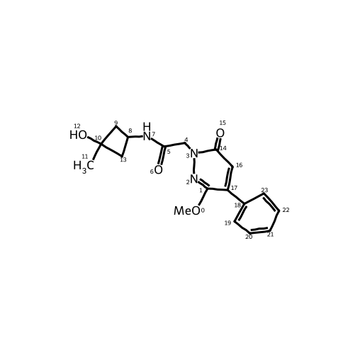 COc1nn(CC(=O)NC2CC(C)(O)C2)c(=O)cc1-c1ccccc1